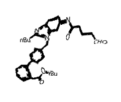 CCCCc1nc2c(n1Cc1ccc(-c3ccccc3C(=O)OC(C)(C)C)cc1)CC(=NC(=O)CCCC=O)C=C2